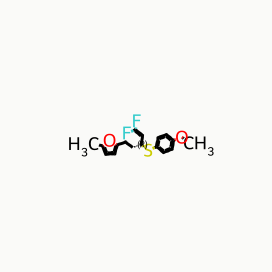 COc1ccc(S[C@@H](C=C(F)F)CCc2ccc(C)o2)cc1